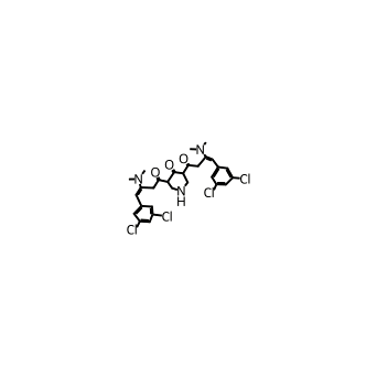 CN(C)/C(=C/c1cc(Cl)cc(Cl)c1)CC(=O)C1CNCC(C(=O)C/C(=C\c2cc(Cl)cc(Cl)c2)N(C)C)C1=O